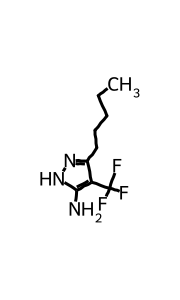 CCCCCc1n[nH]c(N)c1C(F)(F)F